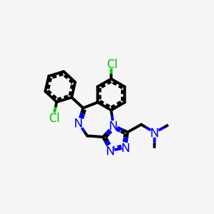 CN(C)Cc1nnc2n1-c1ccc(Cl)cc1C(c1ccccc1Cl)=NC2